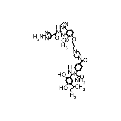 COc1c(OCCCN2CCN(C(=O)c3ccc(N(C(=N)c4cc(C(C)C)c(O)cc4O)C(N)=O)cc3)CC2)ccc2c1N=C(NC(=O)c1cnc(N)nc1)N1CCN=C21